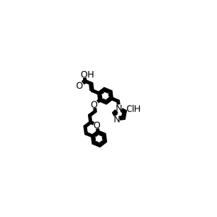 Cl.O=C(O)C=Cc1ccc(Cn2ccnc2)cc1OCCC1CCc2ccccc2O1